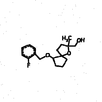 CC1(CO)CCC2(CCCC2OCc2ccccc2F)O1